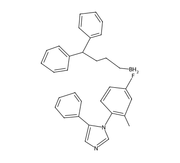 BCCCC(c1ccccc1)c1ccccc1.Cc1cc(F)ccc1-n1cncc1-c1ccccc1